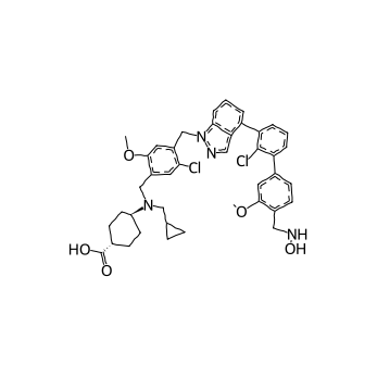 COc1cc(-c2cccc(-c3cccc4c3cnn4Cc3cc(OC)c(CN(CC4CC4)[C@H]4CC[C@H](C(=O)O)CC4)cc3Cl)c2Cl)ccc1CNO